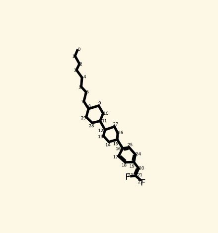 CCCCCCCCC1CCC(C2CCC(c3ccc(C=C(F)F)cc3)CC2)CC1